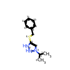 CC(C)N1C=C(SCc2ccccc2)NN1